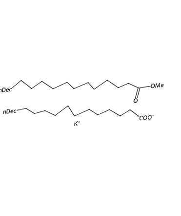 CCCCCCCCCCCCCCCCCCCCCC(=O)OC.CCCCCCCCCCCCCCCCCCCCCC(=O)[O-].[K+]